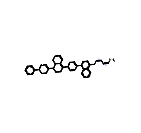 N/C=C\C=C/Cc1ccc(C2=CCC(C3=C4C=CCCC4C(C4=CCC(c5ccccc5)CC4)CC3)C=C2)c2ccccc12